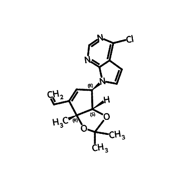 C=CC1=C[C@@H](n2ccc3c(Cl)ncnc32)[C@@H]2OC(C)(C)O[C@]12C